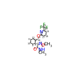 CNC(=O)/C(=N\OC)c1ccccc1COc1cccc(C(F)(F)F)n1